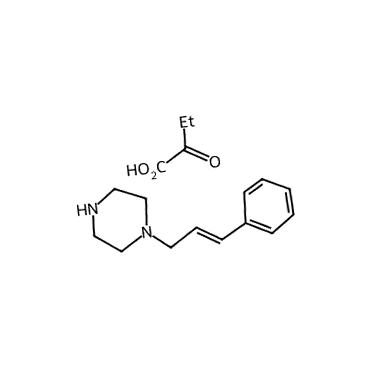 C(=Cc1ccccc1)CN1CCNCC1.CCC(=O)C(=O)O